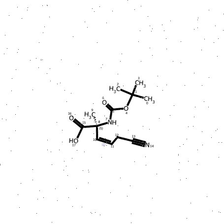 CC(C)(C)OC(=O)N[C@@](C)(/C=C\CC#N)C(=O)O